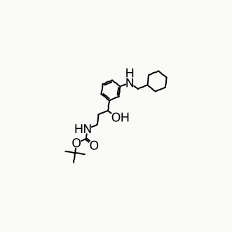 CC(C)(C)OC(=O)NCCC(O)c1cccc(NCC2CCCCC2)c1